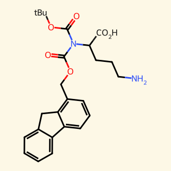 CC(C)(C)OC(=O)N(C(=O)OCc1cccc2c1Cc1ccccc1-2)C(CCCN)C(=O)O